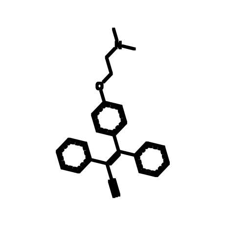 C#C/C(=C(\c1ccccc1)c1ccc(OCCN(C)C)cc1)c1ccccc1